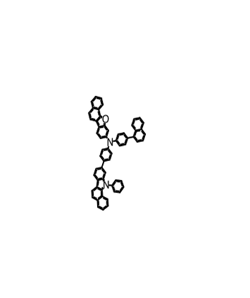 c1ccc(-n2c3cc(-c4ccc(N(c5ccc(-c6cccc7ccccc67)cc5)c5ccc6c(c5)oc5c7ccccc7ccc65)cc4)ccc3c3ccc4ccccc4c32)cc1